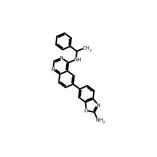 CC(Nc1ncnc2ccc(-c3ccc4nc(N)oc4c3)cc12)c1ccccc1